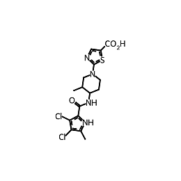 Cc1[nH]c(C(=O)NC2CCN(c3ncc(C(=O)O)s3)CC2C)c(Cl)c1Cl